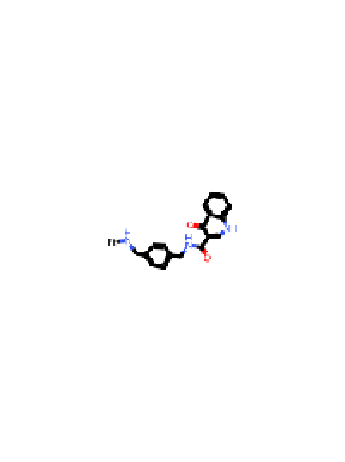 CCNCc1ccc(CNC(=O)c2c[nH]c3ccccc3c2=O)cc1